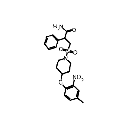 Cc1ccc(OC2CCN(S(=O)(=O)CC(C(N)=O)c3ccccc3)CC2)c([N+](=O)[O-])c1